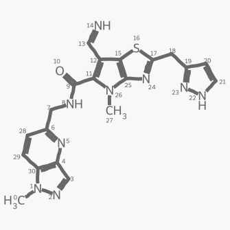 Cn1ncc2nc(CNC(=O)c3c(C=N)c4sc(Cc5cc[nH]n5)nc4n3C)ccc21